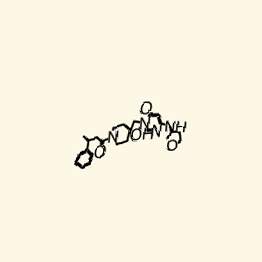 CC(CC(=O)N1CCC(O)(Cn2cnc(NC3CCOC3)cc2=O)CC1)c1ccccc1